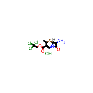 CC1S[C@@H]2C(N)C(=O)N2C=C1C(=O)OCC(Cl)(Cl)Cl.Cl